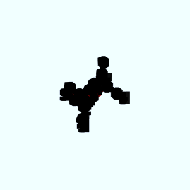 C[Si](C)(C)c1ccc(-c2cc(F)c(N(c3ccc(-c4ccccc4)cc3)c3ccc4ccc5c(N(c6ccc(-c7ccccc7)cc6)c6c(F)cc(-c7ccc([Si](C)(C)C)cc7)cc6-c6ccc([Si](C)(C)C)cc6)ccc6ccc3c4c65)c(-c3ccc([Si](C)(C)C)cc3)c2)cc1